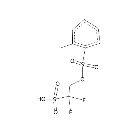 Cc1ccccc1S(=O)(=O)OCC(F)(F)S(=O)(=O)O